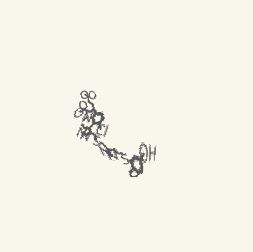 COC(=O)CCc1c(C(=O)OC)n(C)c2c(-c3c(CSCc4cc(CSc5cc(O)cc6c5CCC6)n(C)n4)nn(C)c3C)c(Cl)ccc12